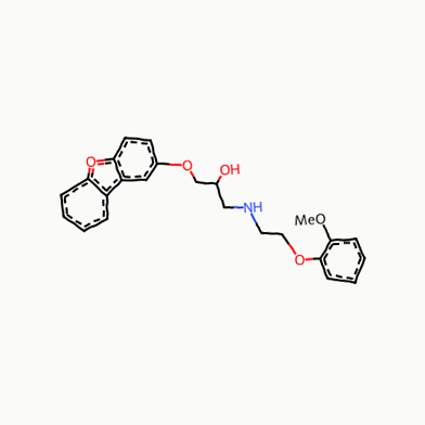 COc1ccccc1OCCNCC(O)COc1ccc2oc3ccccc3c2c1